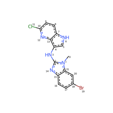 Cn1c(Nc2c[nH]c3ccc(Cl)nc23)nc2ccc(Br)cc21